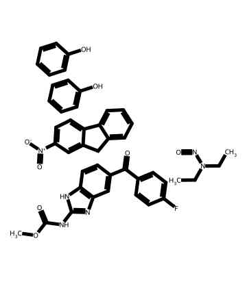 CCN(CC)N=O.COC(=O)Nc1nc2cc(C(=O)c3ccc(F)cc3)ccc2[nH]1.O=[N+]([O-])c1ccc2c(c1)Cc1ccccc1-2.Oc1ccccc1.Oc1ccccc1